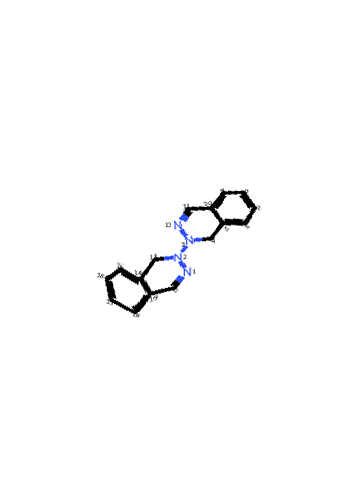 C1=NN(N2Cc3ccccc3C=N2)Cc2ccccc21